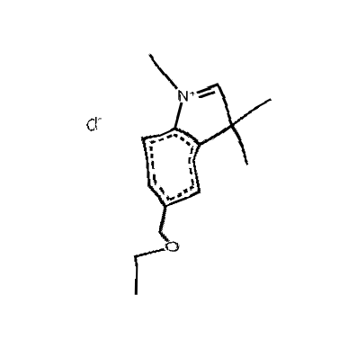 CCOc1ccc2c(c1)C(C)(C)C=[N+]2C.[Cl-]